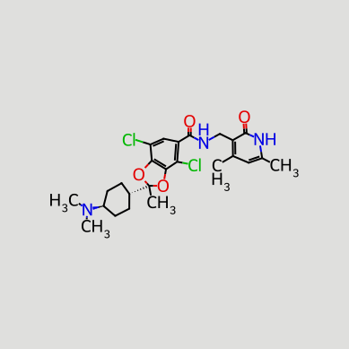 Cc1cc(C)c(CNC(=O)c2cc(Cl)c3c(c2Cl)OC(C)([C@H]2CC[C@H](N(C)C)CC2)O3)c(=O)[nH]1